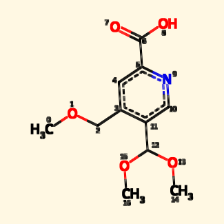 COCc1cc(C(=O)O)ncc1C(OC)OC